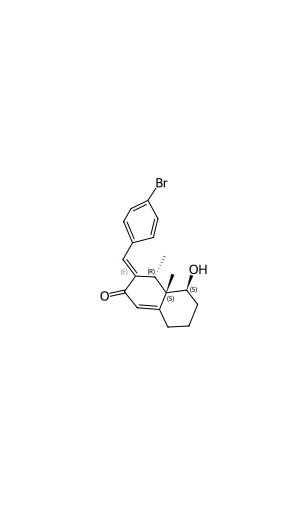 C[C@H]1/C(=C\c2ccc(Br)cc2)C(=O)C=C2CCC[C@H](O)[C@]21C